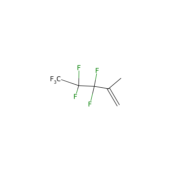 C=C(C)C(F)(F)C(F)(F)C(F)(F)F